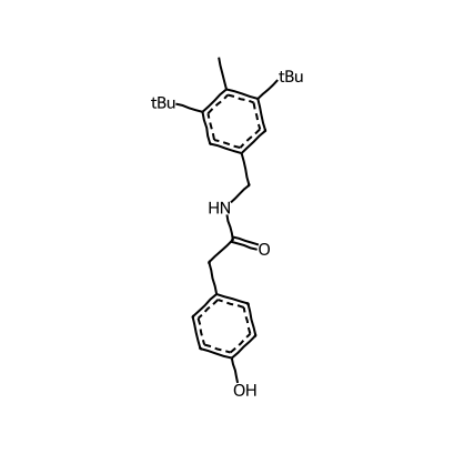 Cc1c(C(C)(C)C)cc(CNC(=O)Cc2ccc(O)cc2)cc1C(C)(C)C